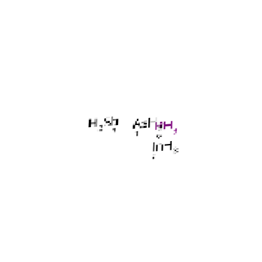 P.[AsH3].[InH3].[SbH3]